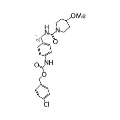 COC1CCN(C(=O)N[C@@H](C)c2ccc(NC(=O)OCc3ccc(Cl)cc3)cc2)CC1